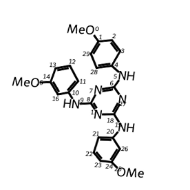 COc1ccc(Nc2nc(Nc3cccc(OC)c3)nc(Nc3cccc(OC)c3)n2)cc1